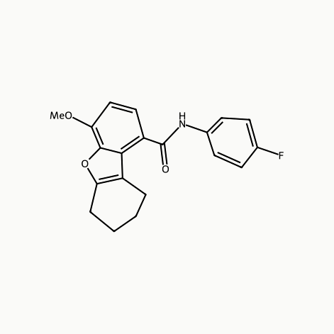 COc1ccc(C(=O)Nc2ccc(F)cc2)c2c3c(oc12)CCCC3